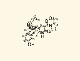 CC(=O)[C@@H]1CCCN1C(=O)c1cc2c([nH]c1=O)C[C@]13CCN(CC4CC4)[C@H](Cc4ccc(O)cc41)[C@@H]3C2